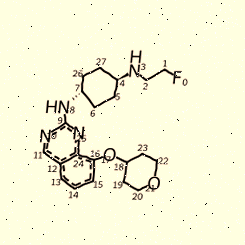 FCCN[C@H]1CC[C@H](Nc2ncc3cccc(OC4CCOCC4)c3n2)CC1